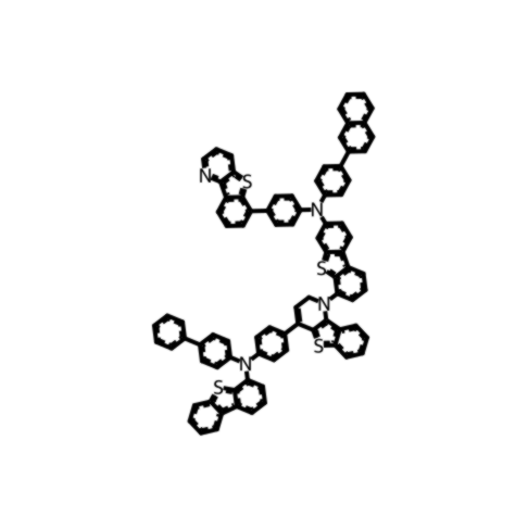 C1=C(c2ccc(N(c3ccc(-c4ccccc4)cc3)c3cccc4c3sc3ccccc34)cc2)c2sc3ccccc3c2N(c2cccc3c2sc2cc(N(c4ccc(-c5ccc6ccccc6c5)cc4)c4ccc(-c5cccc6c5sc5cccnc56)cc4)ccc23)C1